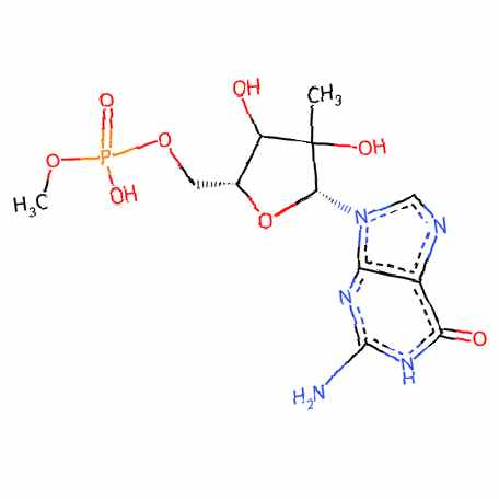 COP(=O)(O)OC[C@H]1O[C@@H](n2cnc3c(=O)[nH]c(N)nc32)C(C)(O)C1O